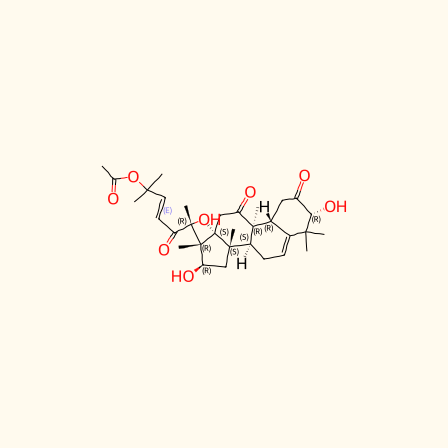 CC(=O)OC(C)(C)/C=C/C(=O)[C@](C)(O)[C@@]1(C)[C@H](O)C[C@@]2(C)[C@@H]3CC=C4[C@@H](CC(=O)[C@H](O)C4(C)C)[C@]3(C)C(=O)C[C@]12C